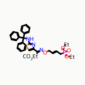 CCOC(=O)C(=NOCC=CCP(=O)(OCC)OCC)c1csc(NC(c2ccccc2)(c2ccccc2)c2ccccc2)n1